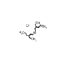 CCCC(CC)C[CH2][Al+][CH2]CC(CC)CCC.[Cl-]